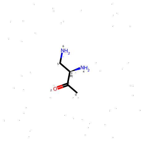 CC(=O)[C@H](N)CN